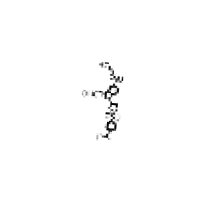 C#CCOC(=O)c1ccc2c(c1)N(CC=O)CC2C1CCN(S(=O)(=O)c2ccc(OC(C)C)cc2)C1